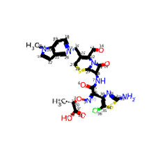 C[C@H](O/N=C(\C(=O)NC1C(=O)N2C(C=O)=C(C[n+]3ccc4c(ccn4C)c3)CSC12)c1nc(N)sc1Cl)C(=O)O